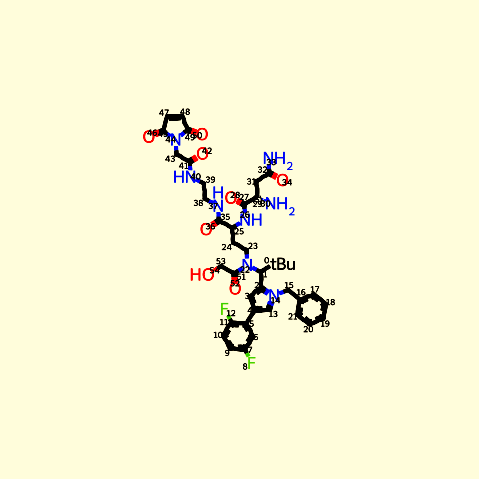 CC(C)(C)C(c1cc(-c2cc(F)ccc2F)cn1Cc1ccccc1)N(CCC(NC(=O)[C@@H](N)CC(N)=O)C(=O)NCCNC(=O)CN1C(=O)C=CC1=O)C(=O)CO